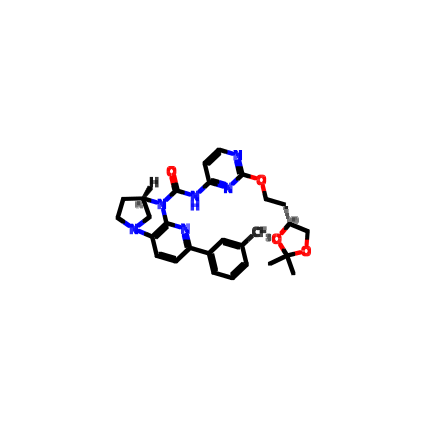 CC1(C)OC[C@@H](CCOc2nccc(NC(=O)N3c4nc(-c5cccc(C(F)(F)F)c5)ccc4N4CC[C@H]3C4)n2)O1